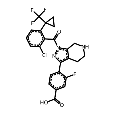 O=C(O)c1ccc(-c2nn(C(=O)c3c(Cl)cccc3C3(C(F)(F)F)CC3)c3c2CCNC3)c(F)c1